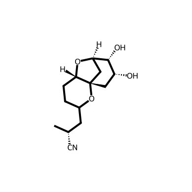 C[C@@H](C#N)CC1CC[C@@H]2O[C@@H]3C[C@]2(C[C@@H](O)[C@H]3O)O1